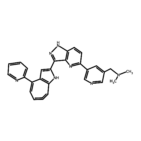 CN(C)Cc1cncc(-c2ccc3[nH]nc(-c4cc5c([nH]4)C=C=CC=C5c4ccccn4)c3n2)c1